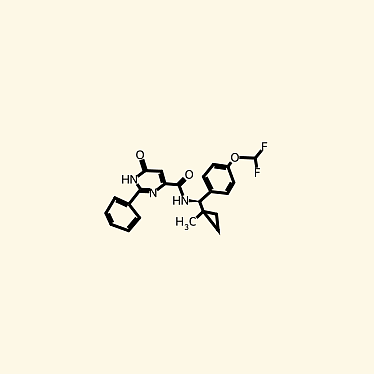 CC1([C@@H](NC(=O)c2cc(=O)[nH]c(-c3ccccc3)n2)c2ccc(OC(F)F)cc2)CC1